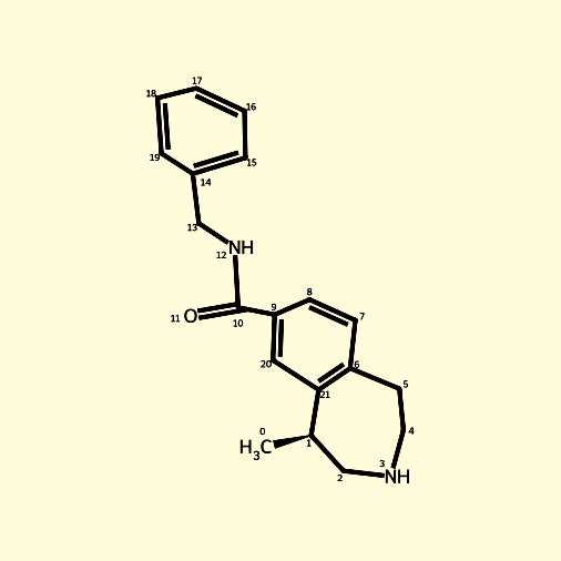 C[C@@H]1CNCCc2ccc(C(=O)NCc3ccccc3)cc21